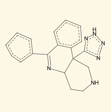 c1ccc(C2=NC3CCNCC3(c3nn[nH]n3)c3ccccc32)cc1